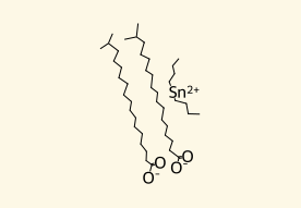 CC(C)CCCCCCCCCCCCCCC(=O)[O-].CC(C)CCCCCCCCCCCCCCC(=O)[O-].CCC[CH2][Sn+2][CH2]CCC